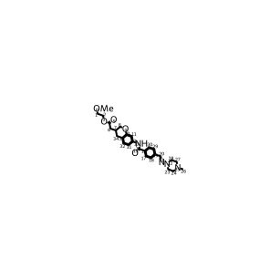 COCCOC(=O)CC1COc2cc(NC(=O)c3ccc(/C=N/N4CCN(C)CC4)cc3)ccc2C1